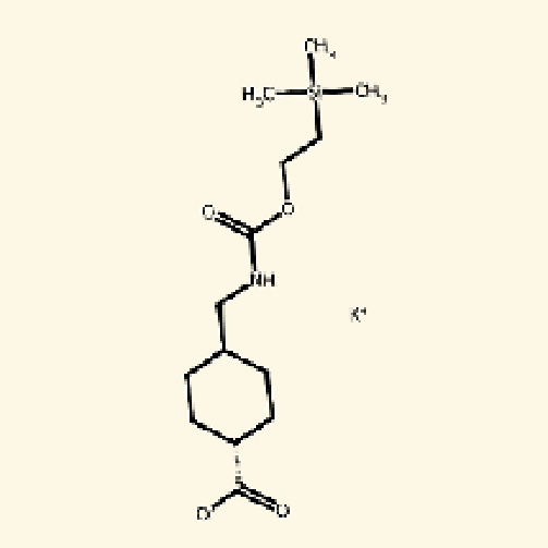 C[Si](C)(C)CCOC(=O)NC[C@H]1CC[C@H](C(=O)[O-])CC1.[K+]